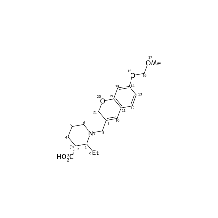 CCC1[C@H](C(=O)O)CCCN1CC1=Cc2ccc(OCOC)cc2OC1